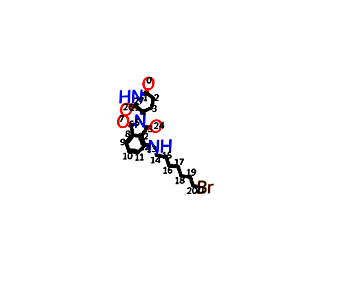 O=C1CCC(N2C(=O)c3cccc(NCCCCCCCBr)c3C2=O)C(=O)N1